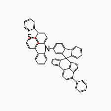 c1ccc(-c2ccccc2N(c2ccc3c(c2)C2(c4ccccc4-3)c3ccccc3-c3ccc(-c4ccccc4)c4cccc2c34)c2ccc3c(c2)sc2ccccc23)cc1